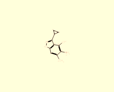 Cc1cc2onc(C3CC3)c2c(Cl)c1N